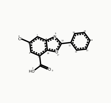 O=C(O)c1cc(Cl)cc2nc(-c3ccccc3)oc12